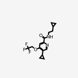 O=C(NCCC1CC1)c1cc(OCC(F)(F)F)c(C2CC2)cn1